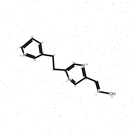 O/N=C/c1cnc(CCc2cccnc2)cn1